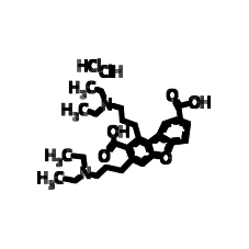 CCN(CC)CCCc1cc2oc3ccc(C(=O)O)cc3c2c(CCCN(CC)CC)c1C(=O)O.Cl.Cl